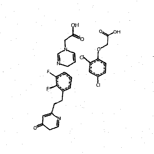 O=C(O)CN1C=CCN=C1.O=C(O)COc1ccc(Cl)cc1Cl.O=C1C=C(CCc2cccc(F)c2F)N=CC1